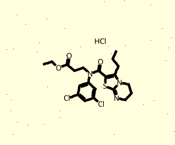 CCCC1=C(C(=O)N(CCC(=O)OCC)c2cc(Cl)cc(Cl)c2)SC2=NCCCN21.Cl